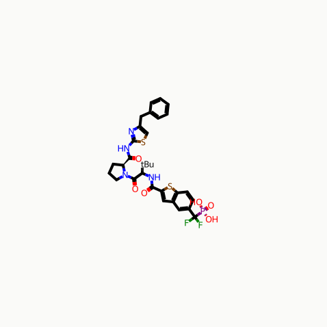 CC(C)(C)C(NC(=O)c1cc2cc(C(F)(F)P(=O)(O)O)ccc2s1)C(=O)N1CCC[C@H]1C(=O)Nc1nc(Cc2ccccc2)cs1